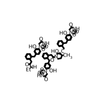 CC1CCN(C(=O)Cc2ccccc2Cc2ccc(N3CC(=O)NS3(=O)=O)c(O)c2)CC1.CCNC(=O)Cc1ccccc1Cc1ccc(N2CC(=O)NS2(=O)=O)c(O)c1.O=C(O)Cc1ccccc1Cc1ccc(N2CC(=O)NS2(=O)=O)c(O)c1